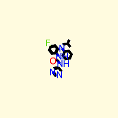 CC(C)CN(c1cc(F)ccc1NC(=O)Nc1cncnc1)C1CCCCC1